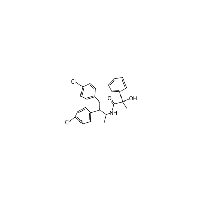 CC(NC(=O)C(C)(O)c1ccccc1)C(Cc1ccc(Cl)cc1)c1ccc(Cl)cc1